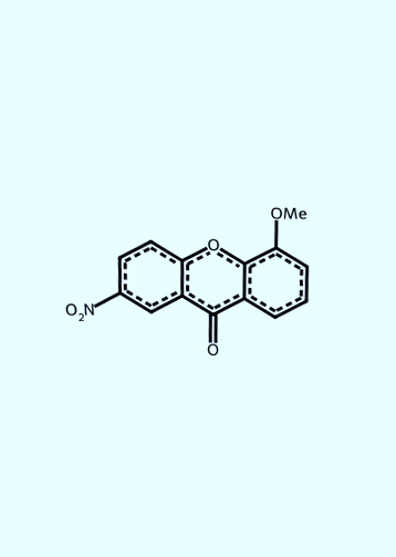 COc1cccc2c(=O)c3cc([N+](=O)[O-])ccc3oc12